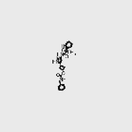 CC(C)(C(=O)Nc1cc([C@H]2C[C@@H](OC(=O)NCc3ccccc3)C2)[nH]n1)c1ccccc1